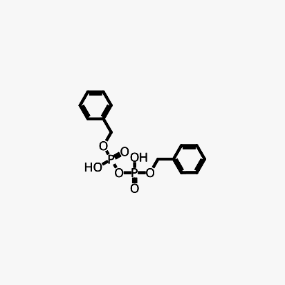 O=P(O)(OCc1ccccc1)OP(=O)(O)OCc1ccccc1